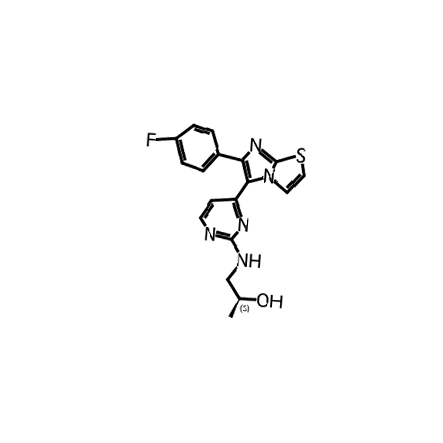 C[C@H](O)CNc1nccc(-c2c(-c3ccc(F)cc3)nc3sccn23)n1